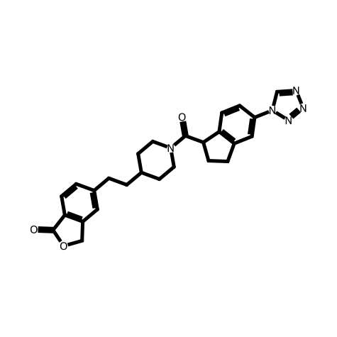 O=C1OCc2cc(CCC3CCN(C(=O)C4CCc5cc(-n6cnnn6)ccc54)CC3)ccc21